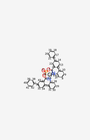 CP(=O)(Oc1nc2ccccc2c2ccc(-c3ccccc3)cc12)Oc1nc2ccccc2c2ccc(-c3ccccc3)cc12